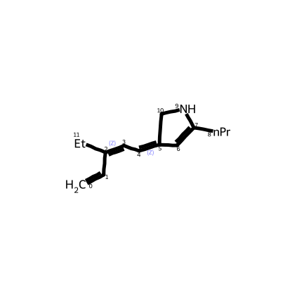 C=C/C(=C\C=C1\C=C(CCC)NC1)CC